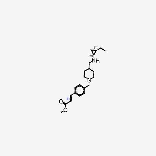 CC[C@@H]1C[C@H]1NCC1CCN(Cc2ccc(/C=C/C(=O)OC)cc2)CC1